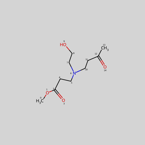 COC(=O)CCN(CCO)CCC(C)=O